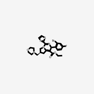 CCOC(=O)C1=C2C[C@@H](CN3CCOCC3)CN2C(c2nccs2)=NC1c1ccc(F)cc1Br